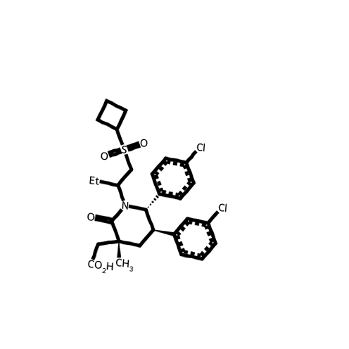 CCC(CS(=O)(=O)C1CCC1)N1C(=O)[C@@](C)(CC(=O)O)C[C@H](c2cccc(Cl)c2)[C@H]1c1ccc(Cl)cc1